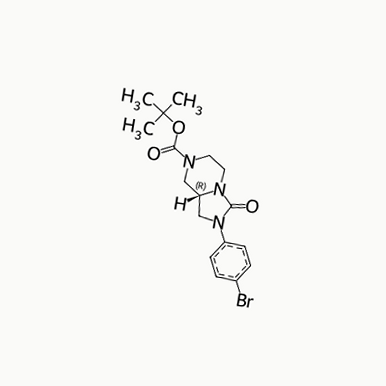 CC(C)(C)OC(=O)N1CCN2C(=O)N(c3ccc(Br)cc3)C[C@@H]2C1